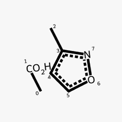 CC(=O)O.Cc1ccon1